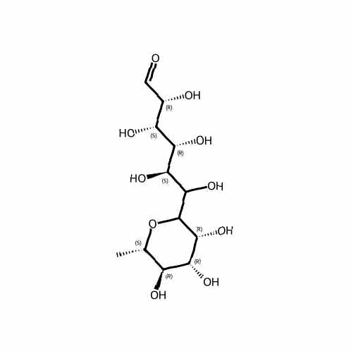 C[C@@H]1OC(C(O)[C@@H](O)[C@@H](O)[C@H](O)[C@@H](O)C=O)[C@H](O)[C@H](O)[C@H]1O